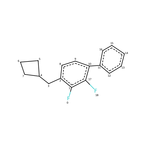 Fc1c(CC2CCC2)ccc(-c2ccccc2)c1F